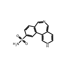 NS(=O)(=O)c1ccc2c(c1)C1=CNC=CC1=CN=C2